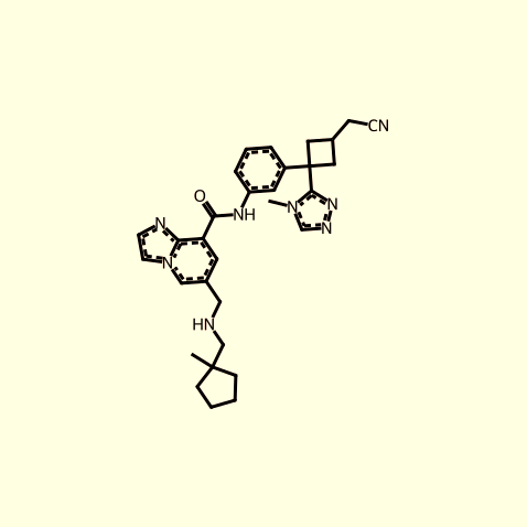 Cn1cnnc1C1(c2cccc(NC(=O)c3cc(CNCC4(C)CCCC4)cn4ccnc34)c2)CC(CC#N)C1